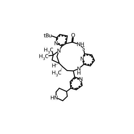 C[C@H]1CC(c2cc(C3CCNCC3)ccn2)Nc2cccc(n2)SNC(=O)c2ccc(C(C)(C)C)nc2N2C[C@@H]1CC2(C)C